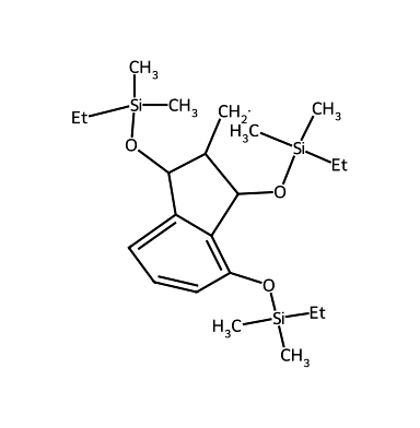 [CH2]C1C(O[Si](C)(C)CC)c2cccc(O[Si](C)(C)CC)c2C1O[Si](C)(C)CC